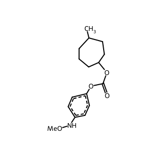 CONc1ccc(OC(=O)OC2CCCC(C)CC2)cc1